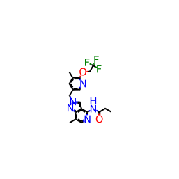 CCC(=O)Nc1ncc(C)c2nn(Cc3cnc(OCC(F)(F)F)c(C)c3)cc12